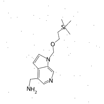 C[Si](C)(C)CCOCn1ccc2c(CN)cncc21